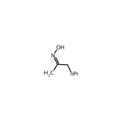 [CH2]/C(CCCC)=N/O